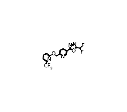 FC(F)c1nnc(-c2ccc(COc3cccc(C(F)(F)F)n3)nc2)o1